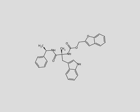 C[C@@H](NC(=O)[C@@](C)(Cc1c[nH]c2ccccc12)NC(=O)OCc1cc2ccccc2o1)c1ccccc1